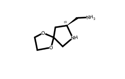 NC[C@@H]1CC2(CN1)OCCO2